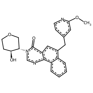 COc1cc(Cc2cc3c(=O)n([C@H]4COCC[C@@H]4O)cnc3c3ccccc23)ccn1